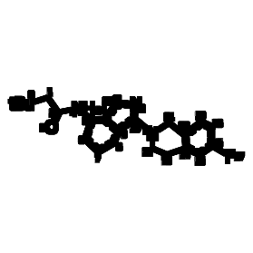 CC(C)(C)CC(=O)Nc1cccc2c(N3CCc4cc(F)ccc4C3)nsc12